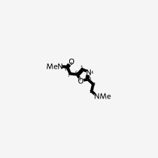 CNCCc1ncc(CC(=O)NC)o1